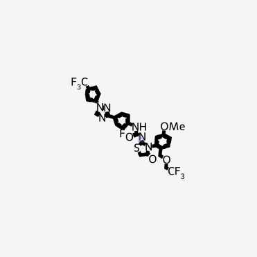 COc1ccc(COCC(F)(F)F)c(N2C(=O)CS/C2=N\C(=O)Nc2ccc(-c3ncn(-c4ccc(C(F)(F)F)cc4)n3)cc2F)c1